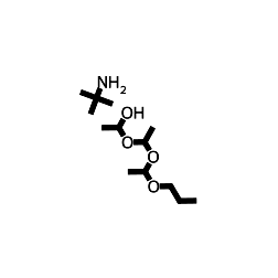 CC(C)(C)N.CCCOC(C)OC(C)OC(C)O